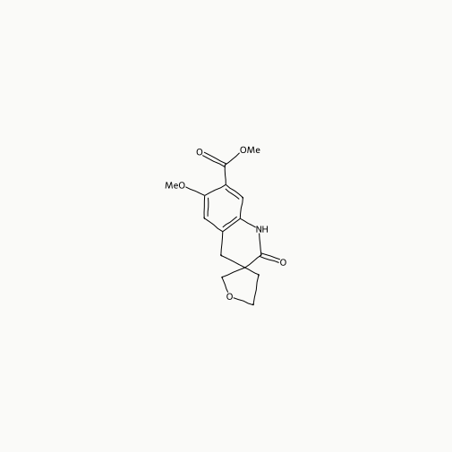 COC(=O)c1cc2c(cc1OC)CC1(CCOC1)C(=O)N2